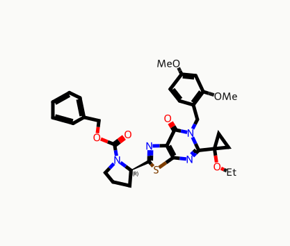 CCOC1(c2nc3sc([C@H]4CCCN4C(=O)OCc4ccccc4)nc3c(=O)n2Cc2ccc(OC)cc2OC)CC1